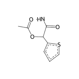 CC(=O)OC(C([NH])=O)c1cccs1